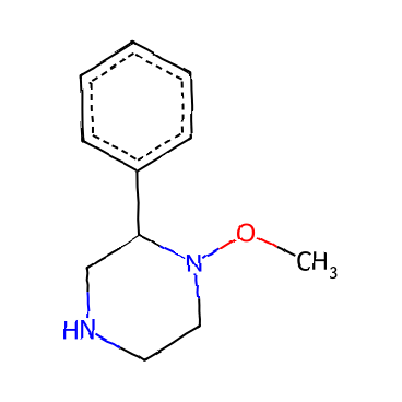 CON1CCNCC1c1ccccc1